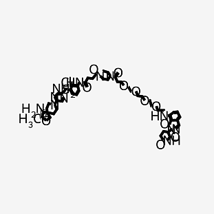 C[C@@H]1OCC2(CCN(c3cnc(Sc4cccc(NC(=O)CCC(=O)N5CCN(C(=O)CCOCCOCCOCCOCCNc6cccc7cnn(C8CCC(=O)NC8=O)c(=O)c67)CC5)c4Cl)c(N)n3)CC2)[C@@H]1N